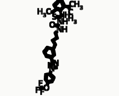 CCc1cccc(C(C)C)c1NC(=S)NC(=O)NCCCCc1cccc(-c2ncn(-c3ccc(OC(F)(F)F)cc3)n2)c1